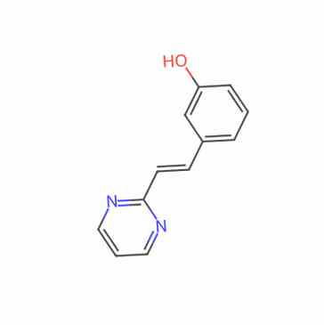 Oc1cccc(/C=C/c2ncccn2)c1